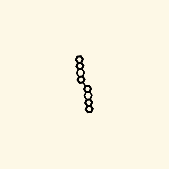 c1ccc2cc3c(cc2c1)Cc1ccc(-c2ccc4c(c2)Cc2cc5ccccc5cc2C4)cc1C3